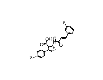 O=C(/C=C/c1cccc(F)c1)Nc1scc(-c2ccc(Br)cc2)c1C(=O)O